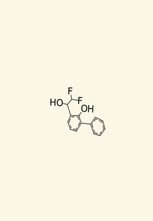 Oc1c(-c2ccccc2)cccc1C(O)C(F)F